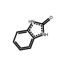 O=c1[nH]c2c([nH]1)=CC=C=C=2